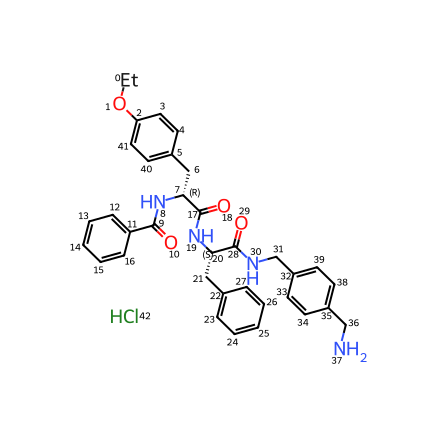 CCOc1ccc(C[C@@H](NC(=O)c2ccccc2)C(=O)N[C@@H](Cc2ccccc2)C(=O)NCc2ccc(CN)cc2)cc1.Cl